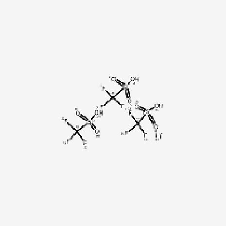 O=S(=O)(O)C(F)(F)F.O=S(=O)(O)C(F)(F)F.O=S(=O)(O)C(F)(F)F.[Hf]